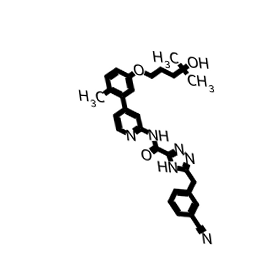 Cc1ccc(OCCCC(C)(C)O)cc1-c1ccnc(NC(=O)c2nnc(Cc3cccc(C#N)c3)[nH]2)c1